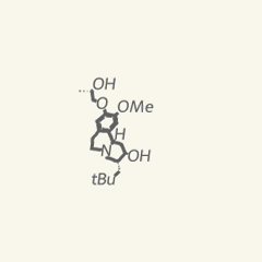 COc1cc2c(cc1OC[C@H](C)O)CCN1C[C@@H](CC(C)(C)C)[C@H](O)C[C@H]21